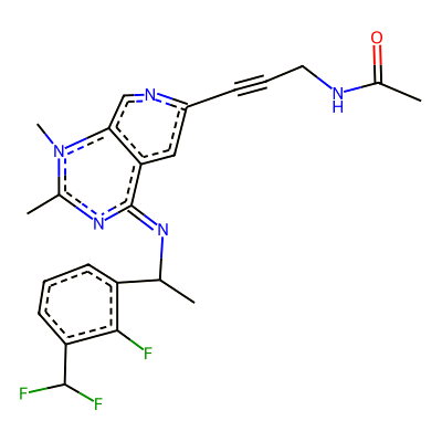 CC(=O)NCC#Cc1cc2c(=NC(C)c3cccc(C(F)F)c3F)nc(C)n(C)c2cn1